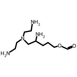 NCCN(CCN)CC(N)CCCOC=O